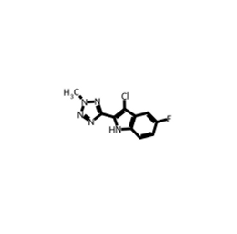 Cn1nnc(-c2[nH]c3ccc(F)cc3c2Cl)n1